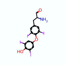 NC(C=O)Cc1cc(I)c(Oc2cc(I)c(O)c(I)c2)c(I)c1